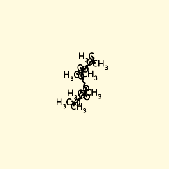 CCC(C)OCCOC(=O)C(C)(CC)OCCCCOC(C)(CC)C(=O)OCCOC(C)CC